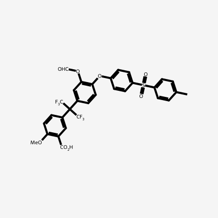 COc1ccc(C(c2ccc(Oc3ccc(S(=O)(=O)c4ccc(C)cc4)cc3)c(OC=O)c2)(C(F)(F)F)C(F)(F)F)cc1C(=O)O